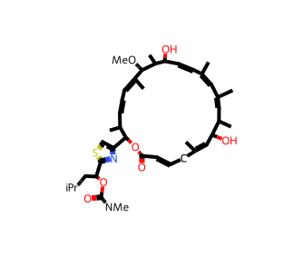 CNC(=O)OC(CC(C)C)c1nc(C2OC(=O)/C=C/C/C(C)=C/C(O)C(C)\C=C(C)/C=C(C)\C=C\C(O)C(C)C(OC)/C(C)=C/C=C/C2C)cs1